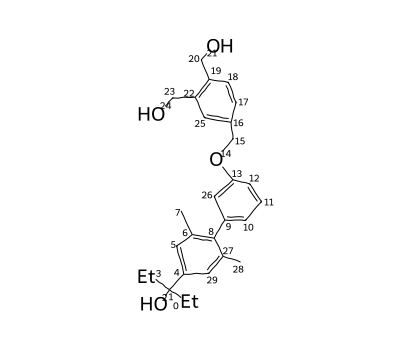 CCC(O)(CC)c1cc(C)c(-c2cccc(OCc3ccc(CO)c(CO)c3)c2)c(C)c1